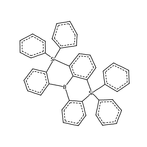 c1ccc([Si]2(c3ccccc3)c3ccccc3B3c4ccccc4[Si](c4ccccc4)(c4ccccc4)c4cccc2c43)cc1